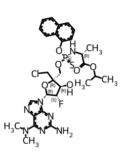 CC(C)OC(=O)[C@@H](C)N[P@](=S)(OC[C@@]1(CCl)O[C@@H](n2cnc3c(N(C)C)nc(N)nc32)[C@@H](F)[C@@H]1O)Oc1cccc2ccccc12